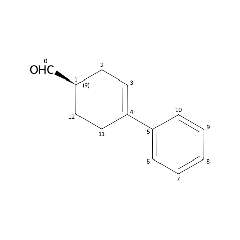 O=C[C@H]1CC=C(c2ccccc2)CC1